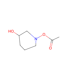 CC(=O)ON1CCCC(O)C1